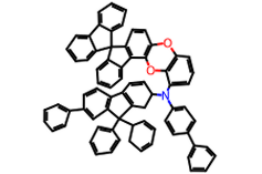 C1=CCC(C2(c3ccccc3)C3=C(C=CC(N(c4ccc(-c5ccccc5)cc4)c4cccc5c4Oc4c(ccc6c4-c4ccccc4C64c6ccccc6-c6ccccc64)O5)C3)c3ccc(-c4ccccc4)cc32)C=C1